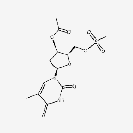 CC(=O)O[C@@H]1C[C@H](n2cc(C)c(=O)[nH]c2=O)O[C@@H]1COS(C)(=O)=O